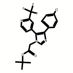 CC(C)(C)OC(=O)Cn1cnc(-c2ccc(Cl)cc2)c1-c1ccnc(C(F)(F)F)c1